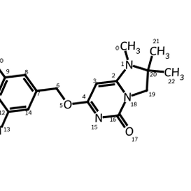 CN1c2cc(OCc3cc(F)cc(Cl)c3)nc(=O)n2CC1(C)C